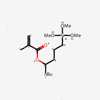 C=C(C)C(=O)OC(CCCC)CCC[Si](OC)(OC)OC